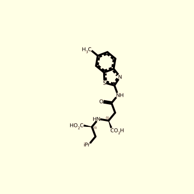 Cc1ccc2nc(NC(=O)C[C@H](N[C@@H](CC(C)C)C(=O)O)C(=O)O)sc2c1